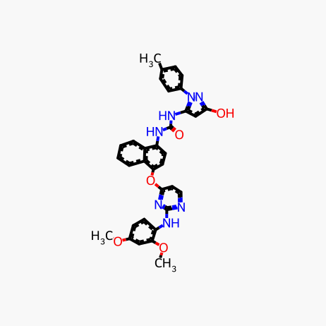 COc1ccc(Nc2nccc(Oc3ccc(NC(=O)Nc4cc(O)nn4-c4ccc(C)cc4)c4ccccc34)n2)c(OC)c1